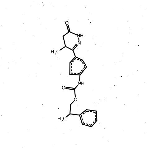 CC1CC(=O)NN=C1c1ccc(NC(=O)OCC(C)c2ccccc2)cc1